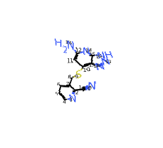 N#Cc1ncccc1CSc1cc(N)nc2[nH]nnc12